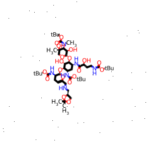 CN(C(=O)OC(C)(C)C)[C@@H]1[C@@H](O)[C@@H](O[C@@H]2[C@@H](O)[C@H](O[C@H]3OC(CNC[C@H]4COC(C)(C)O4)=CC[C@H]3NC(=O)OC(C)(C)C)[C@@H](NC(=O)OC(C)(C)C)C[C@H]2NC(=O)[C@@H](O)CCNC(=O)OC(C)(C)C)OC[C@]1(C)O